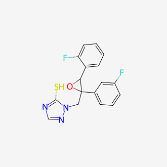 Fc1cccc(C2(Cn3ncnc3S)OC2c2ccccc2F)c1